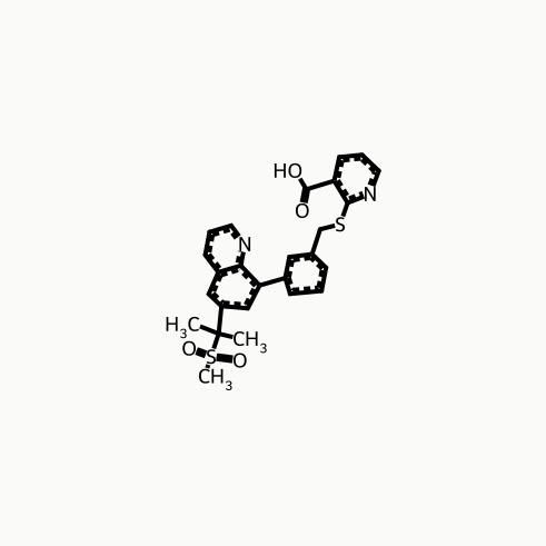 CC(C)(c1cc(-c2cccc(CSc3ncccc3C(=O)O)c2)c2ncccc2c1)S(C)(=O)=O